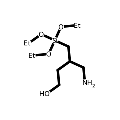 CCO[Si](CC(CN)CCO)(OCC)OCC